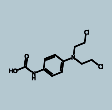 O=C(O)Nc1ccc(N(CCCl)CCCl)cc1